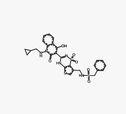 O=c1c(C2=NS(=O)(=O)c3c(CNS(=O)(=O)Cc4ccccc4)csc3N2)c(O)c2ccccc2n1NCC1CC1